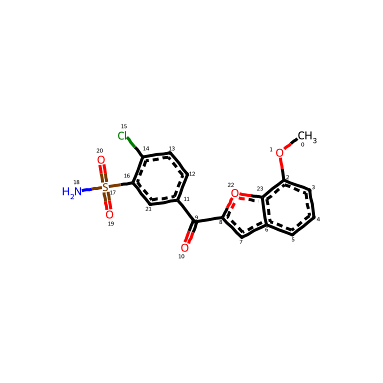 COc1cccc2cc(C(=O)c3ccc(Cl)c(S(N)(=O)=O)c3)oc12